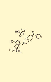 CC1(C)Cc2c(Cl)ccc(CN3CCC4(CC3)CCN(C(=O)c3ccncc3)CC4)c2O1.O=C(O)C(F)(F)F